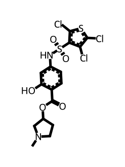 CN1CCC(OC(=O)c2ccc(NS(=O)(=O)c3c(Cl)sc(Cl)c3Cl)cc2O)C1